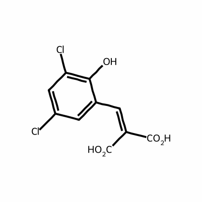 O=C(O)C(=Cc1cc(Cl)cc(Cl)c1O)C(=O)O